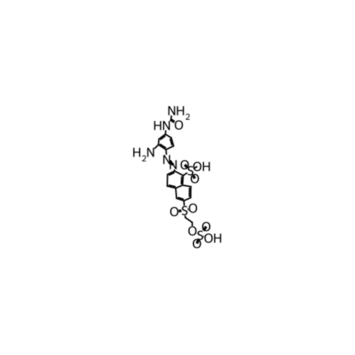 NC(=O)Nc1ccc(/N=N/c2ccc3cc(S(=O)(=O)CCOS(=O)(=O)O)ccc3c2S(=O)(=O)O)c(N)c1